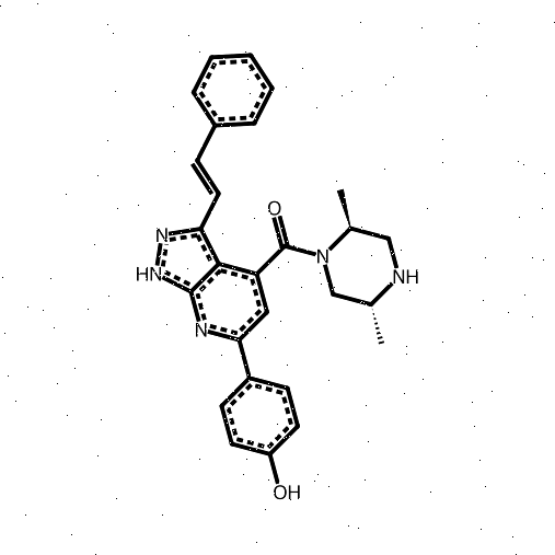 C[C@@H]1CN(C(=O)c2cc(-c3ccc(O)cc3)nc3[nH]nc(/C=C/c4ccccc4)c23)[C@@H](C)CN1